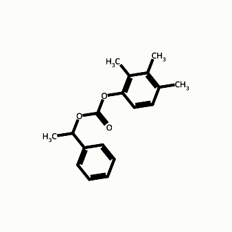 Cc1ccc(OC(=O)OC(C)c2ccccc2)c(C)c1C